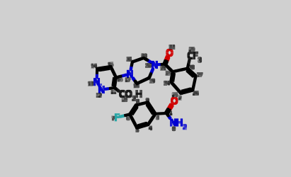 NC(=O)c1ccc(F)cc1.O=C(O)c1nnccc1N1CCN(C(=O)c2ccccc2C(F)(F)F)CC1